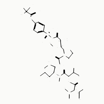 CC[C@@H](C)[C@@H]([C@@H](CC(=O)N1CCC[C@H]1[C@H](OC)[C@@H](C)C(=O)NS(=O)(=O)c1ccc(NC(=O)C(F)(F)F)cc1)OC)N(C)C(=O)[C@@H](NC(=O)[C@H](C(C)C)N(C)C)C(C)C